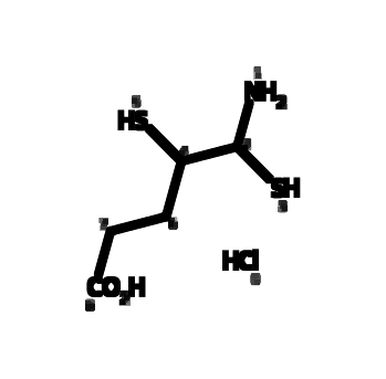 Cl.NC(S)C(S)CCC(=O)O